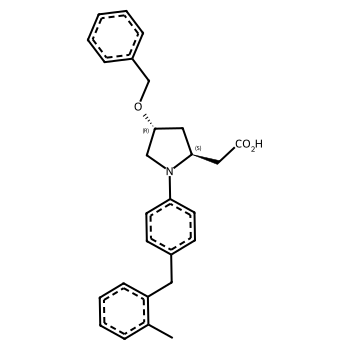 Cc1ccccc1Cc1ccc(N2C[C@H](OCc3ccccc3)C[C@H]2CC(=O)O)cc1